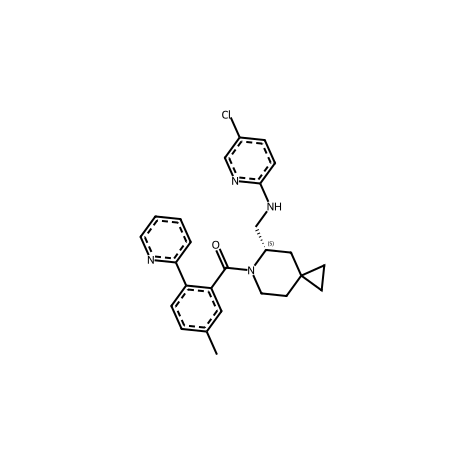 Cc1ccc(-c2ccccn2)c(C(=O)N2CCC3(CC3)C[C@H]2CNc2ccc(Cl)cn2)c1